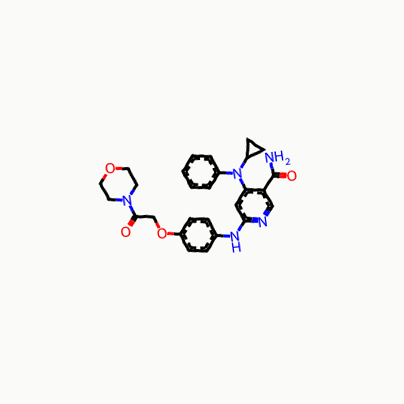 NC(=O)c1cnc(Nc2ccc(OCC(=O)N3CCOCC3)cc2)cc1N(c1ccccc1)C1CC1